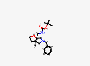 CC(C)(C)OC(=O)NC[C@@]12CN(Cc3ccccc3)C[C@H]1CCO2